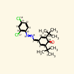 CC(C)(C)C1=CC(=CN=Nc2ccc(Cl)cc2Cl)C=C(C(C)(C)C)C1=O